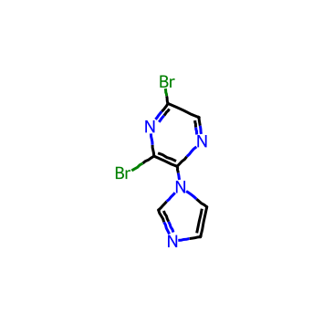 Brc1cnc(-n2ccnc2)c(Br)n1